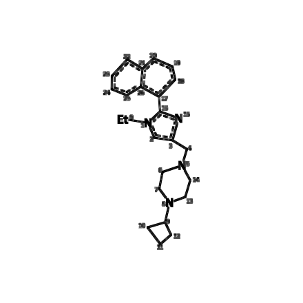 CCn1cc(CN2CCN(C3CCC3)CC2)nc1-c1cccc2ccccc12